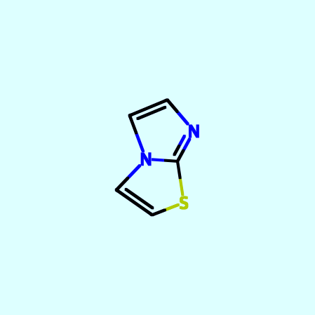 c1cn2ccsc2n1